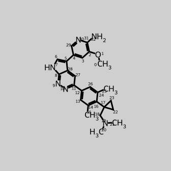 COc1cc(-c2c[nH]c3nnc(-c4cc(C)c(C5(CN(C)C)CC5)c(C)c4)cc23)cnc1N